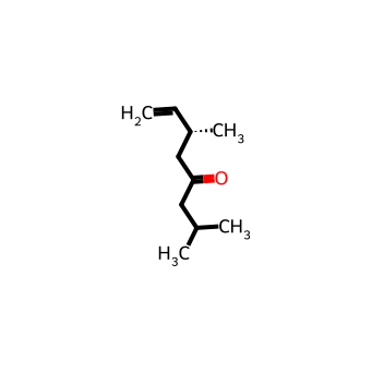 C=C[C@H](C)CC(=O)CC(C)C